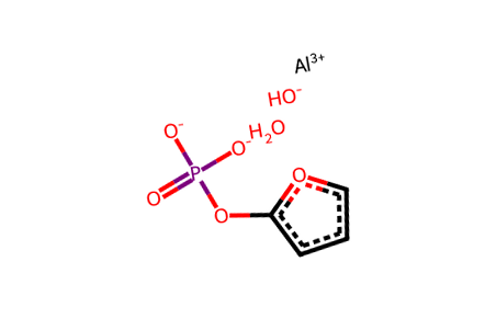 O.O=P([O-])([O-])Oc1ccco1.[Al+3].[OH-]